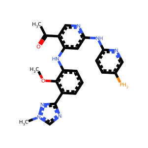 COc1c(Nc2cc(Nc3ccc(P)cn3)ncc2C(C)=O)cccc1-c1ncn(C)n1